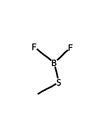 CSB(F)F